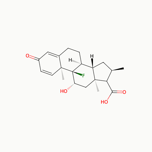 C[C@@H]1C[C@H]2[C@@H]3CCC4=CC(=O)C=C[C@]4(C)[C@@]3(F)[C@@H](O)C[C@]2(C)C1C(=O)O